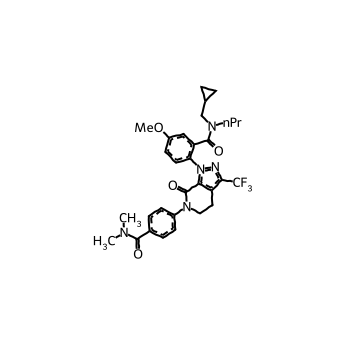 CCCN(CC1CC1)C(=O)c1cc(OC)ccc1-n1nc(C(F)(F)F)c2c1C(=O)N(c1ccc(C(=O)N(C)C)cc1)CC2